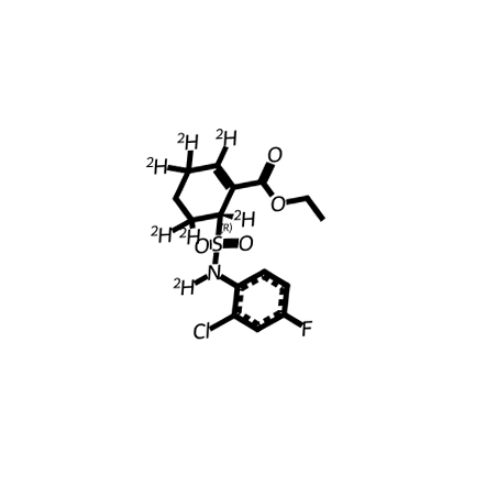 [2H]C1=C(C(=O)OCC)[C@]([2H])(S(=O)(=O)N([2H])c2ccc(F)cc2Cl)C([2H])([2H])CC1([2H])[2H]